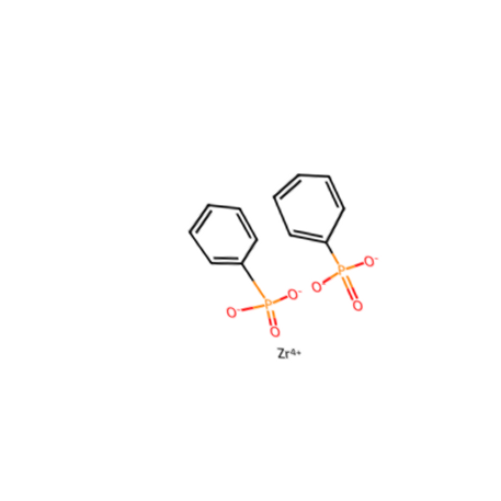 O=P([O-])([O-])c1ccccc1.O=P([O-])([O-])c1ccccc1.[Zr+4]